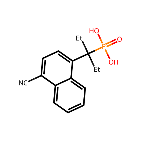 CCC(CC)(c1ccc(C#N)c2ccccc12)P(=O)(O)O